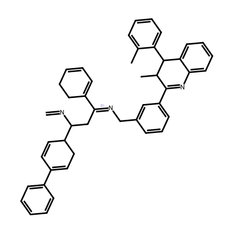 C=NC(C/C(=N\Cc1cccc(C2=Nc3ccccc3C(c3ccccc3C)C2C)c1)C1=CC=CCC1)C1C=CC(c2ccccc2)=CC1